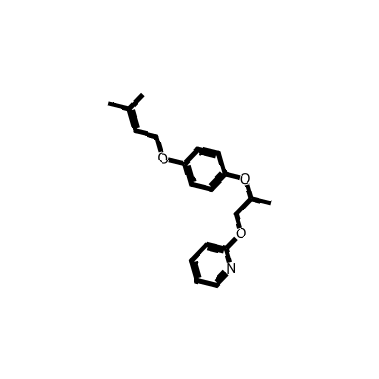 CC(C)=CCOc1ccc(OC(C)COc2ccccn2)cc1